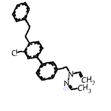 C=CN(Cc1cccc(-c2ccc(CCc3ccccc3)c(Cl)c2)c1)/N=C\C